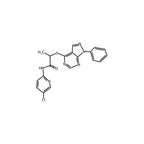 CC(Sc1ncnc2c1cnn2-c1ccccc1)C(=O)Nc1ccc(Cl)cn1